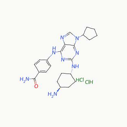 Cl.Cl.NC(=O)c1ccc(Nc2nc(N[C@H]3CC[C@H](N)CC3)nc3c2ncn3C2CCCC2)cc1